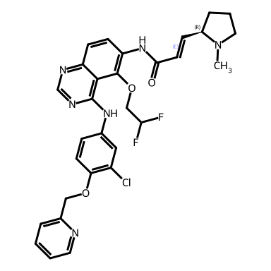 CN1CCC[C@@H]1/C=C/C(=O)Nc1ccc2ncnc(Nc3ccc(OCc4ccccn4)c(Cl)c3)c2c1OCC(F)F